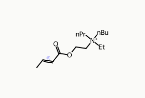 C/C=C/C(=O)OCC[N+](CC)(CCC)CCCC